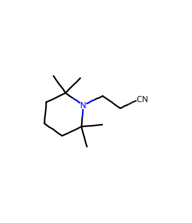 CC1(C)CCCC(C)(C)N1CCC#N